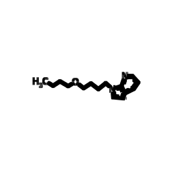 CCCCOCCCCn1c[c]c2cccnc21